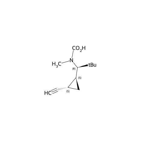 C#C[C@H]1C[C@@H]1[C@@H](N(C)C(=O)O)C(C)(C)C